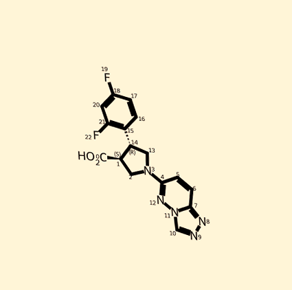 O=C(O)[C@@H]1CN(c2ccc3nncn3n2)C[C@H]1c1ccc(F)cc1F